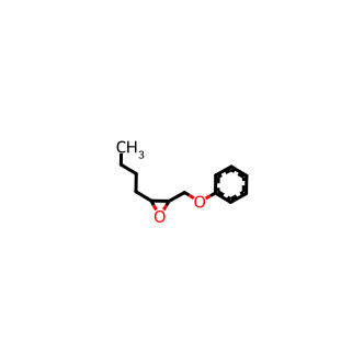 CCCCC1OC1COc1ccccc1